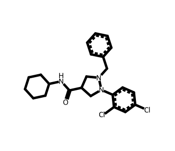 O=C(NC1CCCCC1)C1CN(Cc2ccccc2)N(c2ccc(Cl)cc2Cl)C1